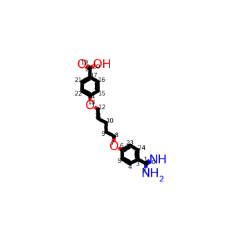 N=C(N)c1ccc(OCCCCCOc2ccc(C(=O)O)cc2)cc1